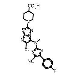 CCc1nc2sc(N3CCC(C(=O)O)CC3)nn2c1N(C)c1nc(-c2ccc(F)cc2)c(C#N)s1